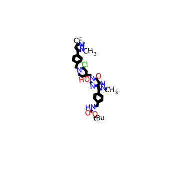 Cn1nc(C(F)(F)F)cc1-c1ccc(CN2CCC(O)(Cn3cnc4c(-c5ccc(CNC(=O)OC(C)(C)C)cc5)n(C)nc4c3=O)CC2)c(Cl)c1